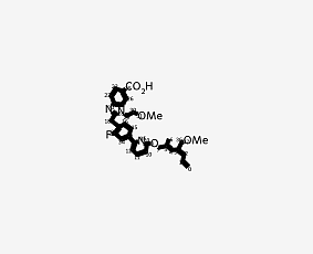 C=C/C=C(\C=C(/C)COc1cccc(-c2ccc(Cc3nc4ccc(C(=O)O)cc4n3CCOC)c(F)c2)n1)COC